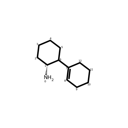 N[C@@H]1CCCCC1C1=CCCCC1